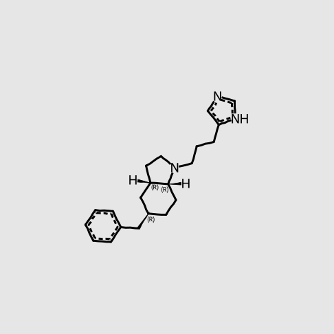 c1ccc(C[C@@H]2CC[C@@H]3[C@@H](CCN3CCCc3cnc[nH]3)C2)cc1